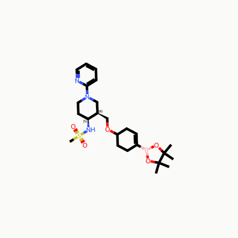 CC1(C)OB(C2=CCC(OC[C@@H]3CN(c4ccccn4)CC[C@@H]3NS(C)(=O)=O)CC2)OC1(C)C